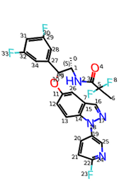 C[C@H](NC(=O)C(C)(F)F)[C@H](Oc1ccc2c(cnn2-c2ccc(F)nc2)c1)c1cc(F)cc(F)c1